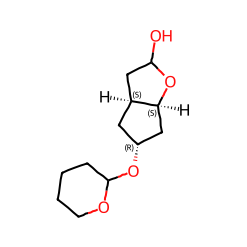 OC1C[C@@H]2C[C@@H](OC3CCCCO3)C[C@@H]2O1